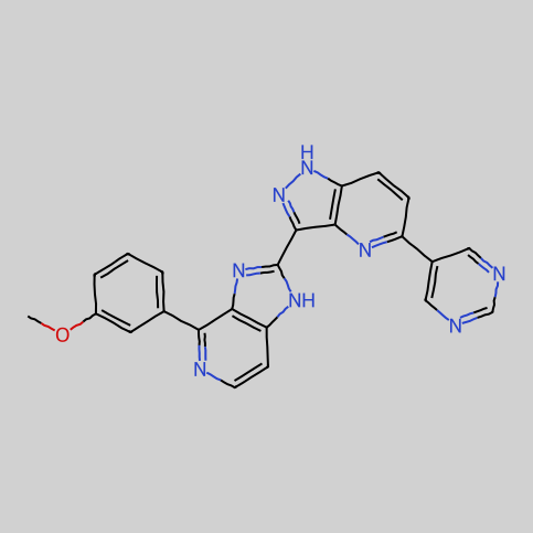 COc1cccc(-c2nccc3[nH]c(-c4n[nH]c5ccc(-c6cncnc6)nc45)nc23)c1